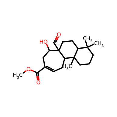 COC(=O)C1=CCC2C3(C)CCCC(C)(C)C3CCC2(C=O)C(O)C1